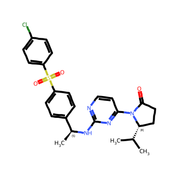 CC(C)[C@H]1CCC(=O)N1c1ccnc(N[C@@H](C)c2ccc(S(=O)(=O)c3ccc(Cl)cc3)cc2)n1